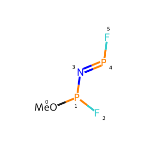 COP(F)/N=P/F